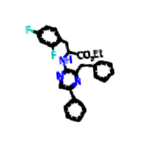 CCOC(=O)C(Cc1ccc(F)cc1F)Nc1ncc(-c2ccccc2)nc1Cc1ccccc1